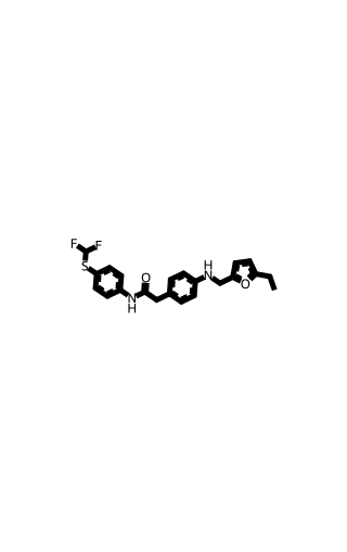 CCc1ccc(CNc2ccc(CC(=O)Nc3ccc(SC(F)F)cc3)cc2)o1